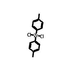 Cc1cc[c]([Zr]([Cl])([Cl])[c]2ccc(C)cc2)cc1